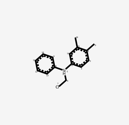 Cc1ccc([SiH](CCl)c2ccccc2)cc1C